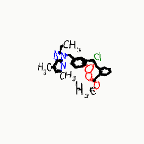 CCc1nc2c(C)cc(C)nc2n1Cc1ccc2oc(-c3ccccc3C(=O)OC)c(Cl)c2c1